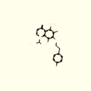 CC(C)n1ccc(=O)c2c(N)c(F)c(NCCc3ccc(F)cc3)c(F)c21